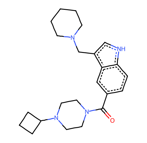 O=C(c1ccc2[nH]cc(CN3CCCCC3)c2c1)N1CCN(C2CCC2)CC1